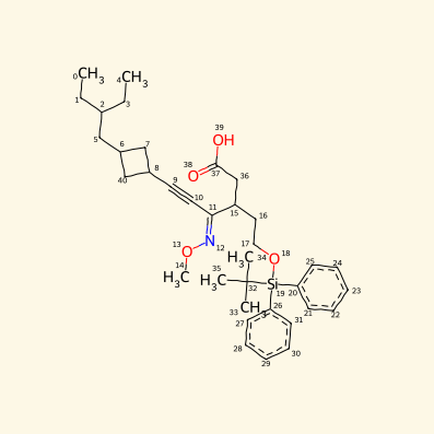 CCC(CC)CC1CC(C#CC(=NOC)C(CCO[Si](c2ccccc2)(c2ccccc2)C(C)(C)C)CC(=O)O)C1